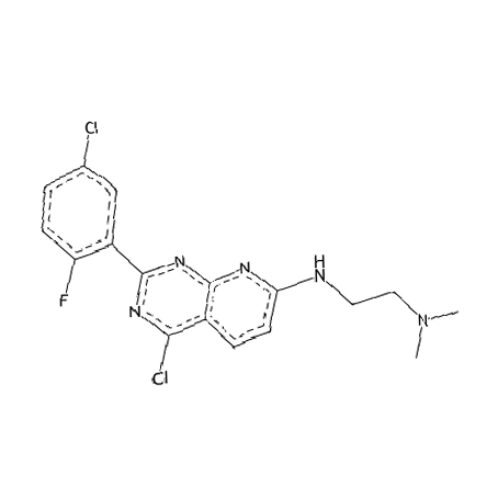 CN(C)CCNc1ccc2c(Cl)nc(-c3cc(Cl)ccc3F)nc2n1